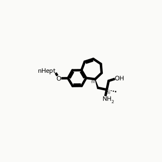 CCCCCCCOc1ccc2c(c1)C=CCC[C@H]2C[C@](C)(N)CO